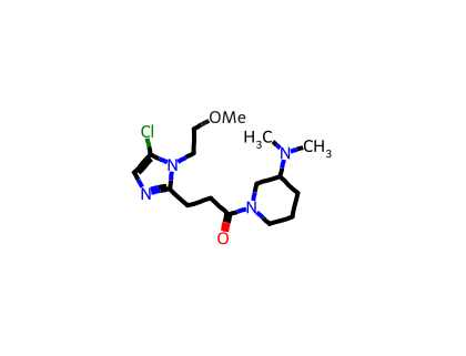 COCCn1c(Cl)cnc1CCC(=O)N1CCCC(N(C)C)C1